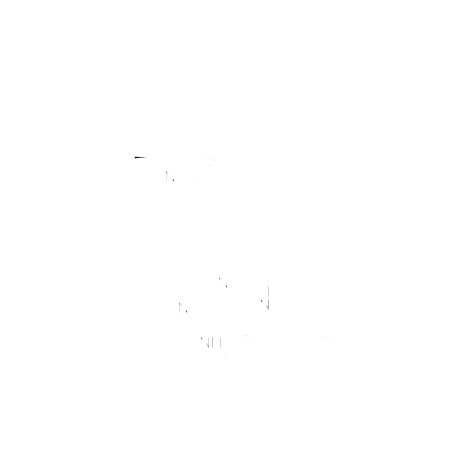 C[C@@H](C1CC1)N1Cc2cc(-c3cnc(N)c(C(=O)NC4CCOCC4)n3)ccc2C1=O